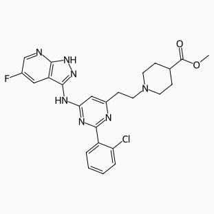 COC(=O)C1CCN(CCc2cc(Nc3n[nH]c4ncc(F)cc34)nc(-c3ccccc3Cl)n2)CC1